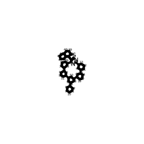 c1ccc(-c2cc(-c3ccccc3)cc(-c3cccc(-c4cccc(-c5nc(-c6ccccc6)c6c(n5)sc5ccc7ccccc7c56)c4)c3)c2)cc1